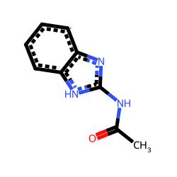 CC(=O)Nc1nc2[c]cccc2[nH]1